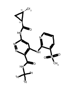 [2H]C([2H])([2H])NC(=O)c1nnc(NC(=O)[C@H]2C[C@@H]2C(F)(F)F)cc1Nc1ncccc1S(C)(=O)=O